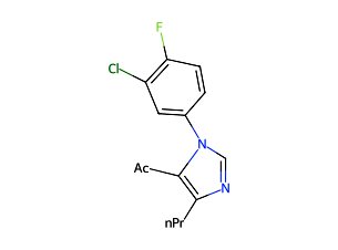 CCCc1ncn(-c2ccc(F)c(Cl)c2)c1C(C)=O